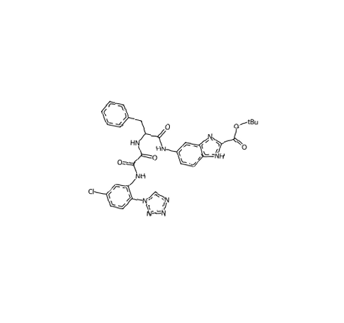 CC(C)(C)OC(=O)c1nc2cc(NC(=O)C(Cc3ccccc3)NC(=O)C(=O)Nc3cc(Cl)ccc3-n3cnnn3)ccc2[nH]1